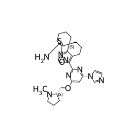 CN1CCC[C@H]1COc1cc(-n2ccnc2)nc(-c2onc3c2CCC[C@@]32CCCc3sc(N)c(C#N)c32)n1